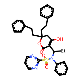 CCC(C1=C(O)CC(CCc2ccccc2)(CCc2ccccc2)OC1=O)N(c1ccccc1)S(=O)(=O)c1ncccn1